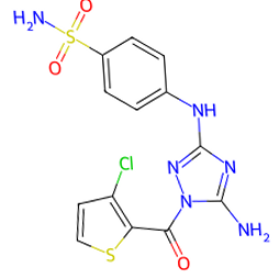 Nc1nc(Nc2ccc(S(N)(=O)=O)cc2)nn1C(=O)c1sccc1Cl